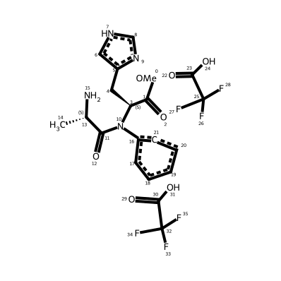 COC(=O)[C@H](Cc1c[nH]cn1)N(C(=O)[C@H](C)N)c1ccccc1.O=C(O)C(F)(F)F.O=C(O)C(F)(F)F